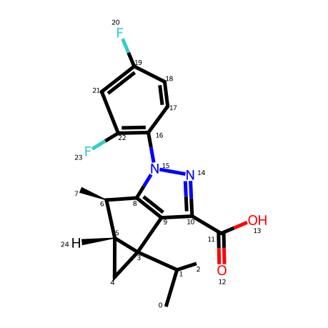 CC(C)C12C[C@@H]1[C@@H](C)c1c2c(C(=O)O)nn1-c1ccc(F)cc1F